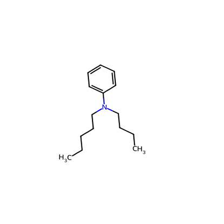 CCCCCN(CCCC)c1ccccc1